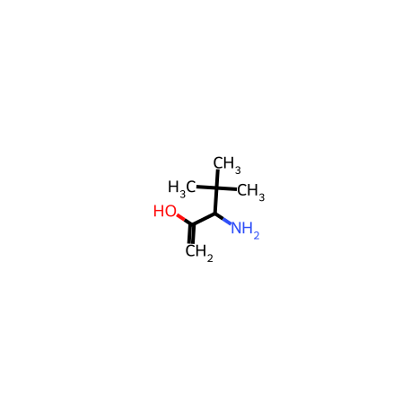 C=C(O)C(N)C(C)(C)C